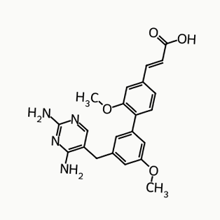 COc1cc(Cc2cnc(N)nc2N)cc(-c2ccc(C=CC(=O)O)cc2OC)c1